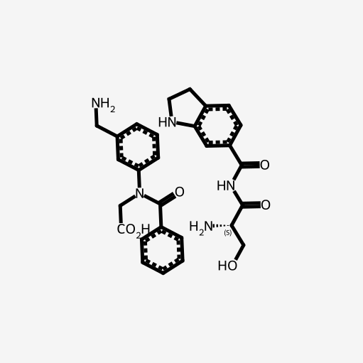 NCc1cccc(N(CC(=O)O)C(=O)c2ccccc2)c1.N[C@@H](CO)C(=O)NC(=O)c1ccc2c(c1)NCC2